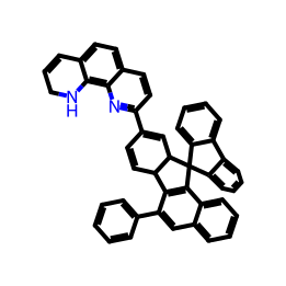 C1=Cc2ccc3ccc(C4=CC5C(C=C4)c4c(-c6ccccc6)cc6ccccc6c4C54c5ccccc5-c5ccccc54)nc3c2NC1